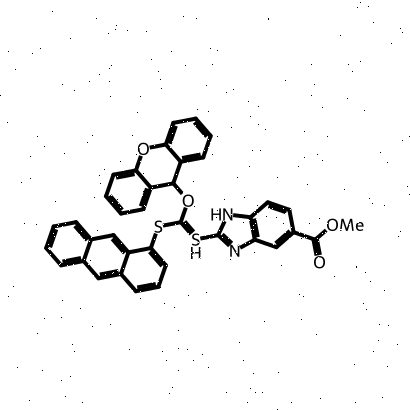 COC(=O)c1ccc2[nH]c([SH]=C(OC3c4ccccc4Oc4ccccc43)Sc3cccc4cc5ccccc5cc34)nc2c1